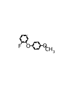 COc1ccc(Oc2c[c]ccc2F)cc1